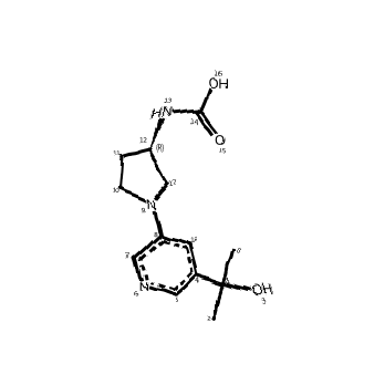 CC(C)(O)c1cncc(N2CC[C@@H](NC(=O)O)C2)c1